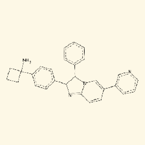 NC1(c2ccc(C3N=C4C=CC(c5cccnc5)=CN4C3c3ccccc3)cc2)CCC1